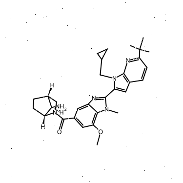 COc1cc(C(=O)N2C[C@H]3CC[C@@H]2[C@@H]3N)cc2nc(-c3cc4ccc(C(C)(C)C)nc4n3CC3CC3)n(C)c12